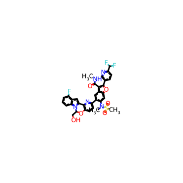 CNC(=O)c1c(-c2ccc(C(F)F)nc2)oc2cc(N(C)S(C)(=O)=O)c(-c3ccc4c(n3)-c3cc5c(F)cccc5n3C(CO)O4)cc12